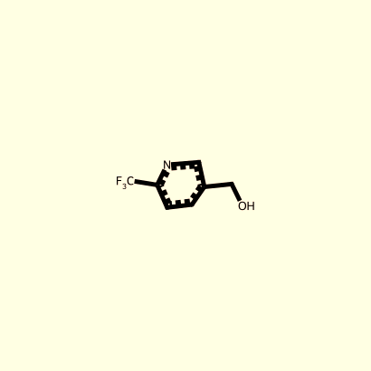 OCc1ccc(C(F)(F)F)nc1